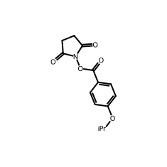 CC(C)Oc1ccc(C(=O)ON2C(=O)CCC2=O)cc1